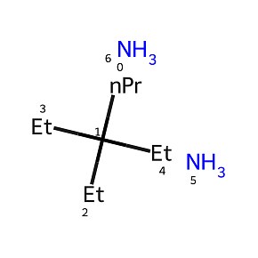 CCCC(CC)(CC)CC.N.N